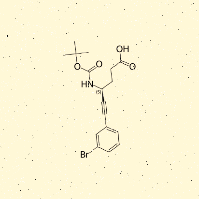 CC(C)(C)OC(=O)N[C@H](C#Cc1cccc(Br)c1)CCC(=O)O